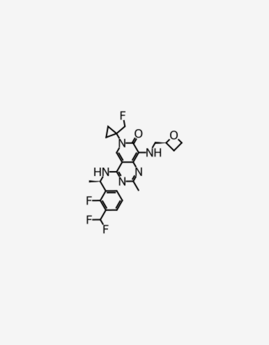 Cc1nc(N[C@H](C)c2cccc(C(F)F)c2F)c2cn(C3(CF)CC3)c(=O)c(NC[C@@H]3CCO3)c2n1